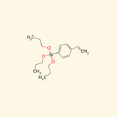 C=[C]c1ccc([Si](OCCC)(OCCC)OCCC)cc1